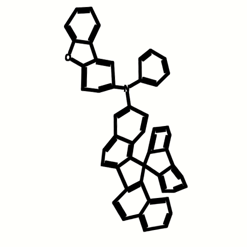 c1ccc(N(c2ccc3c4c(ccc3c2)-c2ccc3ccccc3c2C42c3ccccc3-c3ccccc32)c2ccc3oc4ccccc4c3c2)cc1